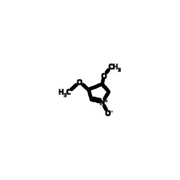 COC1C=[N+]([O-])CC1OC